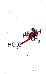 Cc1nn(CCCCCCCCCCCCCCCC(=O)O)c(C)c1-c1ccc(N2CCc3cccc(C(=O)Nc4nc5ccccc5s4)c3C2)nc1C(=O)OC(C)(C)C